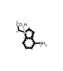 Nc1cccc2c1ccn2CC(=O)O